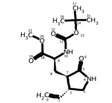 C=C[C@H]1CNC(=O)[C@@H]1C[C@H](NC(=O)OC(C)(C)C)C(=O)OC